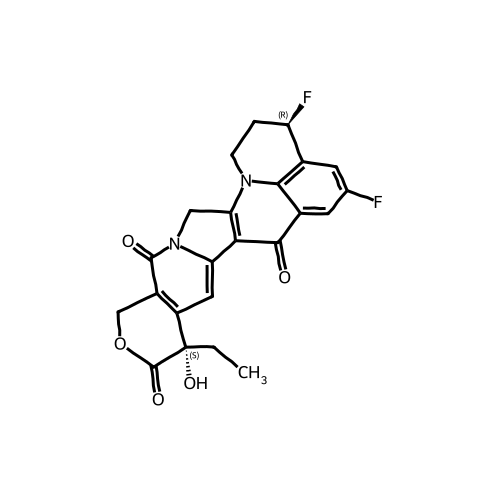 CC[C@@]1(O)C(=O)OCc2c1cc1n(c2=O)Cc2c-1c(=O)c1cc(F)cc3c1n2CC[C@H]3F